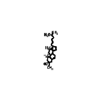 CC[C@]1(O)CCC2(C)C(=CCC3C2CCC2(C)C(CCCCC(C)C)CCC32)C1